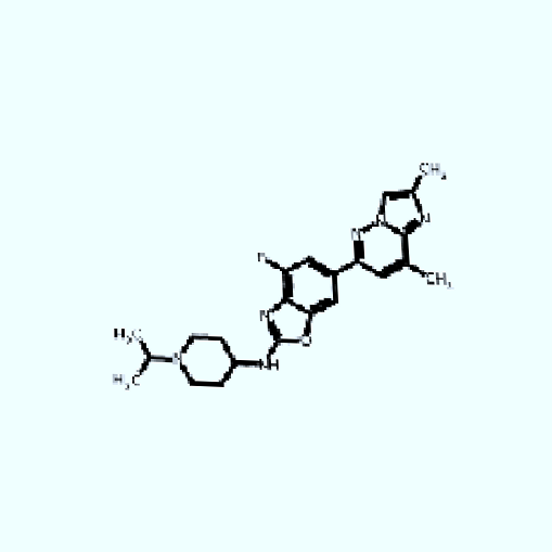 Cc1cn2nc(-c3cc(F)c4nc(NC5CCN(C(C)C)CC5)oc4c3)cc(C)c2n1